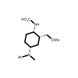 COC[C@@H]1C[C@H](N(C)C(C)C)CC[C@@H]1NC(=O)O